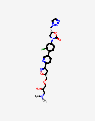 CN(C)CC(O)COC[C@@H]1CC(c2ccc(-c3ccc(N4C[C@H](Cn5ccnn5)OC4=O)cc3F)cn2)=NO1